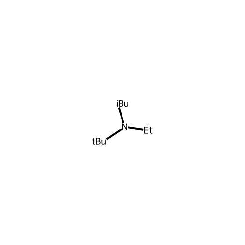 [CH2]CN(C(C)CC)C(C)(C)C